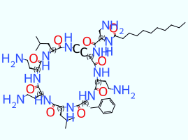 CCCCCCCCCCC(=O)N[C@H](CN)C(=O)N[C@H]1CCNC(=O)[C@H](CC(C)C)NC(=O)[C@H](CCN)NC(=O)[C@H](CCN)NC(=O)[C@H](CC(C)C)NC(=O)[C@@H](Cc2ccccc2)NC(=O)[C@H](CCN)NC1=O